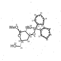 CO[C@H]1C[C@@H](O[Si](c2ccccc2)(c2ccccc2)C(C)(C)C)C[C@H](CO)O1